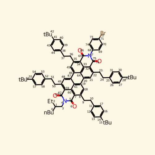 CCCCC(CC)CN1C(=O)c2c(CCc3ccc(C(C)(C)C)cc3)cc3c4cc(CCc5ccc(C(C)(C)C)cc5)c5c6c(c(CCc7ccc(C(C)(C)C)cc7)cc(c7cc(CCc8ccc(C(C)(C)C)cc8)c(c2c37)C1=O)c64)C(=O)N(c1ccc(Br)cc1)C5=O